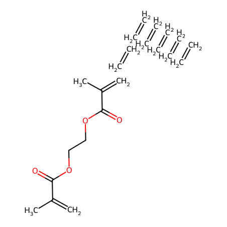 C=C.C=C.C=C.C=C.C=C.C=C.C=C(C)C(=O)OCCOC(=O)C(=C)C